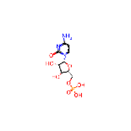 Nc1ccn([C@@H]2O[C@H](COP(=O)(O)O)[C@@H](O)[C@@H]2O)c(=O)n1